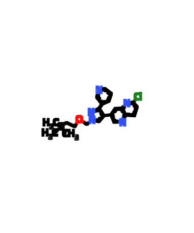 C[Si](C)(C)CCOCn1cc(-c2cnc3ccc(Cl)nc3c2)c(-c2cccnc2)n1